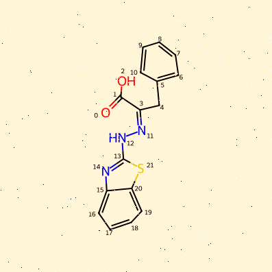 O=C(O)/C(Cc1ccccc1)=N\Nc1nc2ccccc2s1